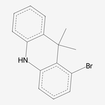 CC1(C)c2ccccc2Nc2cccc(Br)c21